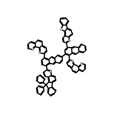 c1ccc(C2(c3ccccc3)c3ccccc3-c3ccc4nc(-c5ccc(-c6ccc7ccc8cccnc8c7n6)c6cc7cc(-c8cc(-c9ccc%10c(ccc%11c%12ccccc%12oc%10%11)n9)c9cc%10ccccc%10cc9c8-c8ccc9ccc%10cccnc%10c9n8)ccc7cc56)ccc4c32)cc1